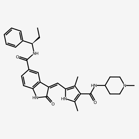 CC[C@@H](NC(=O)c1ccc2c(c1)C(=Cc1[nH]c(C)c(C(=O)NC3CCN(C)CC3)c1C)C(=O)N2)c1ccccc1